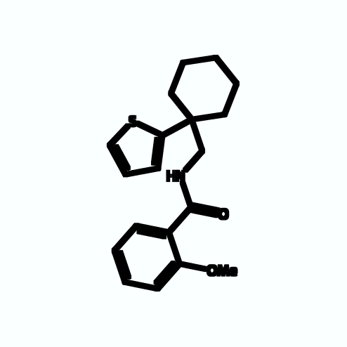 COc1ccccc1C(=O)NCC1(c2cccs2)CCCCC1